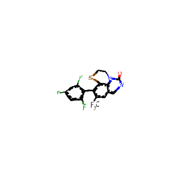 O=c1ncc2cc(C(F)(F)F)c(-c3c(F)cc(F)cc3F)c3c2n1CCS3